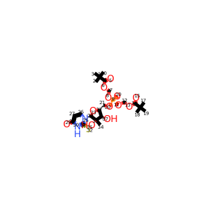 CC(C)(C)C(=O)OCOP(=O)(OCOC(=O)C(C)(C)C)OC[C@H]1O[C@@H](n2ccc(=O)[nH]c2=S)C(C)(O)[C@H]1O